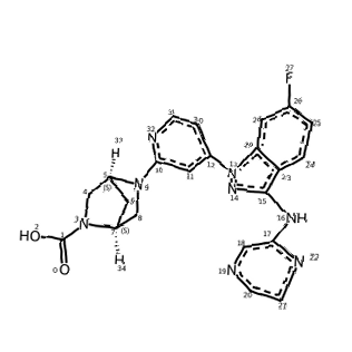 O=C(O)N1C[C@@H]2C[C@H]1CN2c1cc(-n2nc(Nc3cnccn3)c3ccc(F)cc32)ccn1